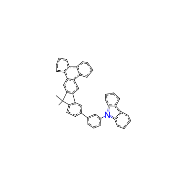 CC1(C)c2ccc(-c3cccc(-n4c5ccccc5c5ccccc54)c3)cc2-c2cc3c4ccccc4c4ccccc4c3cc21